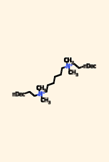 CCCCCCCCCCCC[N+](C)(C)CCCCCC[N+](C)(C)CCCCCCCCCCCC